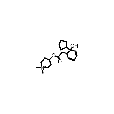 C[N+]1(C)CCC(OC(=O)CC2C=CC=CC2(O)C2CCCC2)CC1